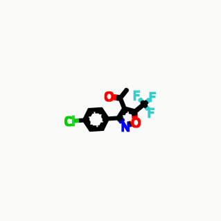 CC(=O)c1c(-c2ccc(Cl)cc2)noc1C(F)(F)F